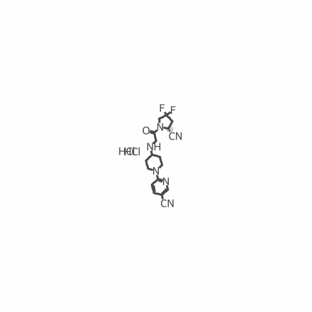 Cl.Cl.N#Cc1ccc(N2CCC(NCC(=O)N3CC(F)(F)C[C@H]3C#N)CC2)nc1